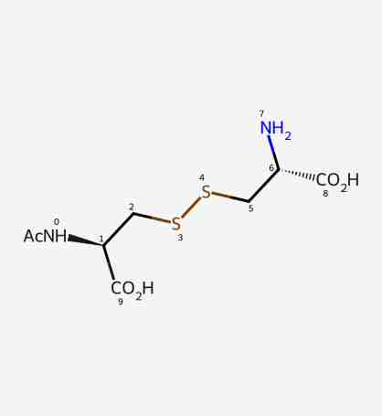 CC(=O)N[C@@H](CSSC[C@H](N)C(=O)O)C(=O)O